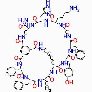 C[C@H]1NC(=O)[C@H](Cc2ccccc2)NC(=O)[C@H](c2ccccc2)NC(=O)c2cc3cc(c2)C(=O)NC[C@@H](C(N)=O)NC(=O)[C@H](Cc2c[nH]cn2)NC(=O)[C@@H](CCCCN)NC(=O)CNC(=O)[C@@H](Cc2ccccc2)NC(=O)[C@H](Cc2ccc(O)cc2)NC(=O)C(CCCCNC3=O)NC1=O